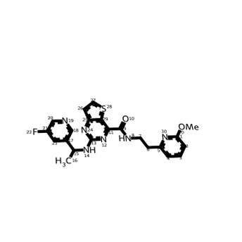 COc1cccc(CCNC(=O)c2nc(NC(C)c3cncc(F)c3)nc3ccsc23)n1